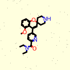 CCN(CC)C(=O)c1ccc(C2=CC3(CCNCC3)Oc3cccc(OC)c32)cn1